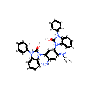 CNc1cc(N)c(-n2c(=O)n(-c3ccccc3)c3ccccc32)cc1-n1c(=O)n(-c2ccccc2)c2ccccc21